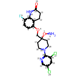 NOC1(COc2ccc(F)c3c2CCC(=O)N3)CCN(c2ncc(Cl)cc2Cl)CC1